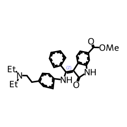 CCN(CC)CCc1ccc(N/C(=C2\C(=O)Nc3cc(C(=O)OC)ccc32)c2ccccc2)cc1